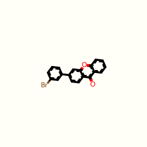 O=c1c2ccccc2oc2cc(-c3cccc(Br)c3)ccc12